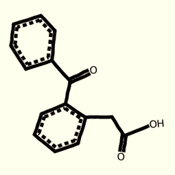 O=C(O)Cc1ccccc1C(=O)c1ccccc1